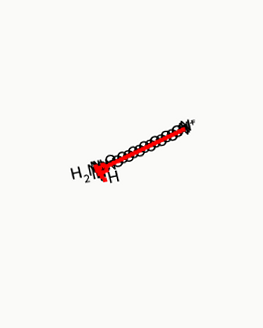 CCCCc1nc2c(N)nnc(OC(C)C)c2n1Cc1ccc(CNC(=O)CCOCCOCCOCCOCCOCCOCCOCCOCCOCCOCCOCCOCCN=[N+]=[N-])cc1